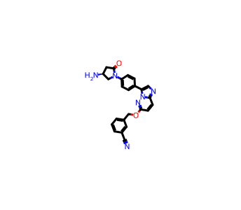 N#Cc1cccc(COc2ccc3ncc(-c4ccc(N5C[C@@H](N)CC5=O)cc4)n3n2)c1